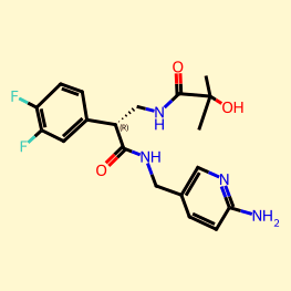 CC(C)(O)C(=O)NC[C@H](C(=O)NCc1ccc(N)nc1)c1ccc(F)c(F)c1